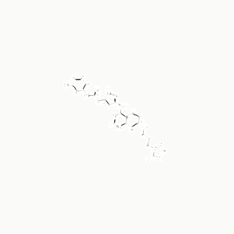 C[C@@H]1CCCN1CCCOc1ccc2c(Nc3cc(CC(=O)Nc4cccc(F)c4)[nH]n3)ncnc2c1